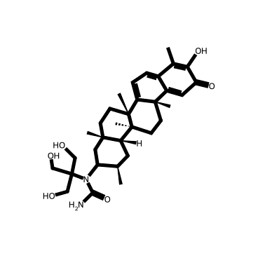 CC1=C(O)C(=O)C=C2C1=CC=C1[C@@]2(C)CC[C@@]2(C)[C@@H]3C[C@@H](C)C(N(C(N)=O)C(CO)(CO)CO)C[C@]3(C)CC[C@]12C